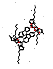 CCCCCCc1ccc(N(c2ccc3c(c2)C2(c4cc(N(c5ccc(C)s5)c5ccc(C)s5)ccc4-3)c3cc(N(c4ccc(C)s4)c4ccc(C)s4)ccc3-c3ccc(N(c4ccc(CCCCCC)s4)c4ccc(CCCCCC)s4)cc32)c2ccc(CCCCCC)s2)s1